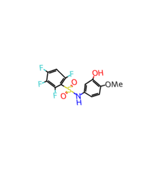 COc1ccc(NS(=O)(=O)c2c(F)cc(F)c(F)c2F)cc1O